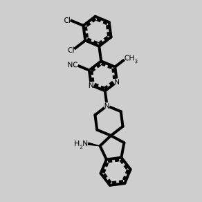 Cc1nc(N2CCC3(CC2)Cc2ccccc2[C@H]3N)nc(C#N)c1-c1cccc(Cl)c1Cl